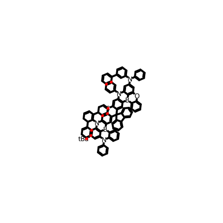 CC(C)(C)c1cc2c3c(c1)N(c1ccccc1)c1ccccc1B3c1cc3c(cc1N2C1=C(C2C=CC=CC2)C=CCC1C1=CCCC=C1)Sc1cc2c(cc1C31c3ccccc3-c3ccccc31)B1c3ccccc3Oc3cc(N(c4ccccc4)c4cccc(-c5ccccc5)c4)cc(c31)N2c1ccccc1